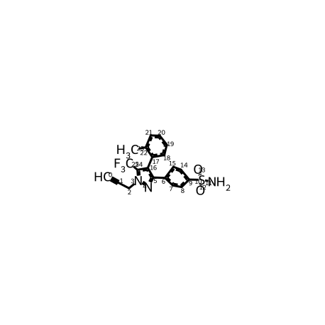 C#CCn1nc(-c2ccc(S(N)(=O)=O)cc2)c(-c2ccccc2C)c1C(F)(F)F